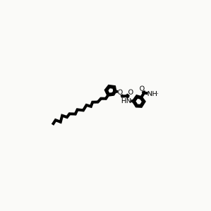 CCCCCCCCCCCCCCCc1cccc(OCC(=O)Nc2cccc(C([NH])=O)c2)c1